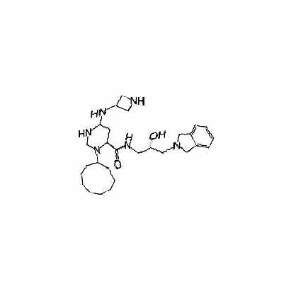 O=C(NC[C@H](O)CN1Cc2ccccc2C1)C1CC(NC2CNC2)NCN1C1CCCCCCCC1